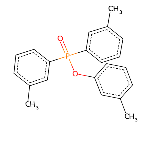 Cc1cccc(OP(=O)(c2cccc(C)c2)c2cccc(C)c2)c1